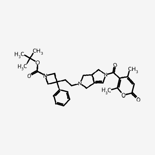 Cc1cc(=O)oc(C)c1C(=O)N1C=C2CN(CCC3(c4ccccc4)CN(C(=O)OC(C)(C)C)C3)CC2C1